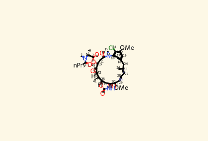 CCCC(=O)N(C)[C@H](C)C(=O)O[C@H]1CC(=O)N(C)c2cc(cc(OC)c2Cl)C/C(C)=C/C=C/[C@@H](OC)[C@@]2(O)C[C@H](OC(=O)N2)[C@@H](C)[C@@H]2O[C@@]12C